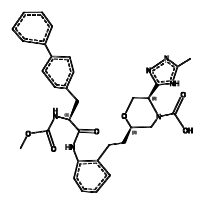 COC(=O)N[C@@H](Cc1ccc(-c2ccccc2)cc1)C(=O)Nc1ccccc1CC[C@@H]1CN(C(=O)O)[C@H](c2nnc(C)[nH]2)CO1